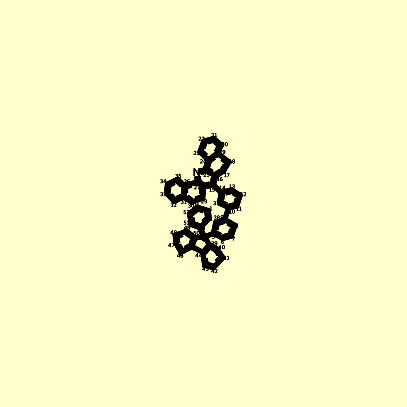 c1ccc(C2(c3cccc(-c4cccc(-c5c6ccc7ccccc7c6nc6c5ccc5ccccc56)c4)c3)c3ccccc3-c3ccccc32)cc1